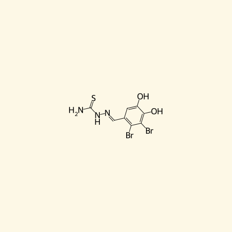 NC(=S)NN=Cc1cc(O)c(O)c(Br)c1Br